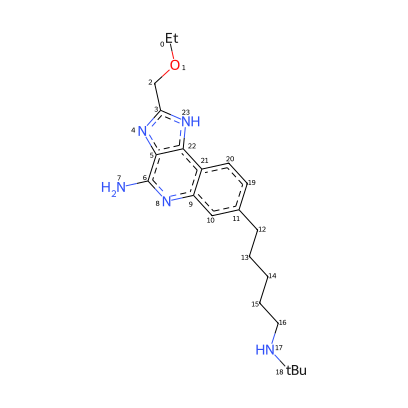 CCOCc1nc2c(N)nc3cc(CCCCCNC(C)(C)C)ccc3c2[nH]1